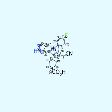 Cc1cc(-n2c(C(C)(C)CC#N)c(C3CCC(C)(C(=O)O)CC3)c3cc4[nH]ncc4cc32)ccc1F